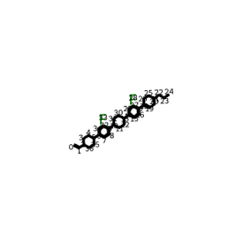 C=CC1CCC(c2ccc(C3CCC(c4ccc(C5=CCC(CCC)CC5)c(F)c4)CC3)c(F)c2)CC1